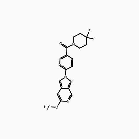 COc1cc2cn(-c3ccc(C(=O)N4CCC(F)(F)CC4)cn3)nc2cn1